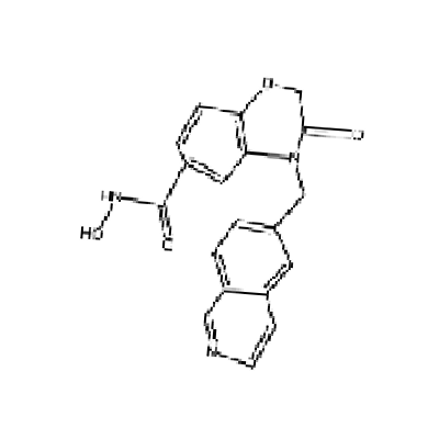 O=C(NO)c1ccc2c(c1)N(Cc1ccc3cnccc3c1)C(=O)CO2